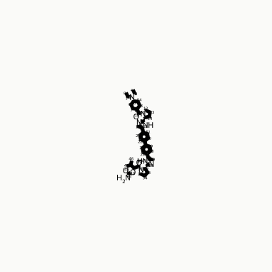 CCN(CC)C1CCC(C(=O)N2CCC[C@H]2c2ncc(-c3ccc(-c4ccc(-c5cnc([C@@H]6CCCN6C(=O)[C@@H](OC(N)=O)C(C)C)[nH]5)cc4)cc3)[nH]2)CC1